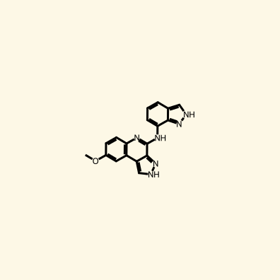 COc1ccc2nc(Nc3cccc4c[nH]nc34)c3n[nH]cc3c2c1